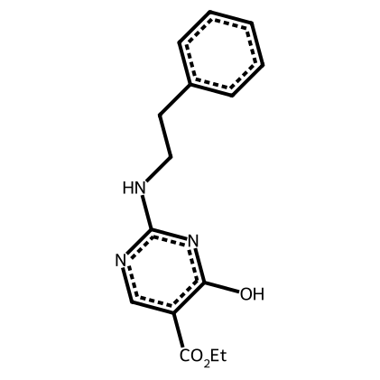 CCOC(=O)c1cnc(NCCc2ccccc2)nc1O